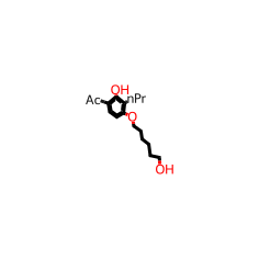 CCCc1c(OCCCCCCO)ccc(C(C)=O)c1O